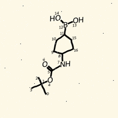 CC(C)(C)OC(=O)NC1CCC(B(O)O)CC1